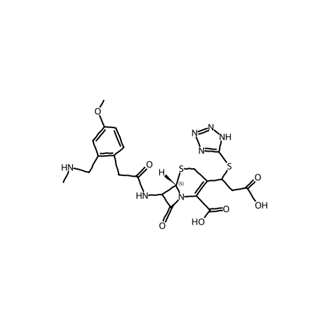 CNCc1cc(OC)ccc1CC(=O)NC1C(=O)N2C(C(=O)O)=C(C(CC(=O)O)Sc3nnn[nH]3)CS[C@@H]12